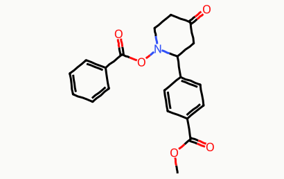 COC(=O)c1ccc(C2CC(=O)CCN2OC(=O)c2ccccc2)cc1